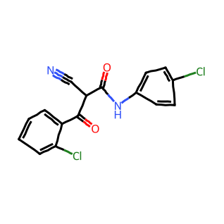 N#CC(C(=O)Nc1ccc(Cl)cc1)C(=O)c1ccccc1Cl